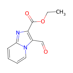 CCOC(=O)c1nc2ccccn2c1C=O